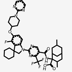 CC1CC2CC(C)C(NC(=O)c3cnc(N4CC5(CCCCC5)c5c4ccc(OC4CCN(c6ncccn6)CC4)c5F)nc3C(F)(F)F)(C(=O)O)C(C1)C2